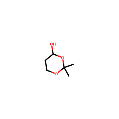 CC1(C)OCCC(O)O1